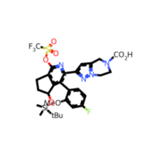 COc1cc(F)ccc1-c1c(-c2cc3n(n2)CCN(C(=O)O)C3)nc(OS(=O)(=O)C(F)(F)F)c2c1C(O[Si](C)(C)C(C)(C)C)CC2